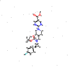 COC(=O)c1cnc(N2CCC(CN(C(=O)OC(C)(C)C)[C@@H]3C[C@@H]3c3ccc(F)cc3)CC2)nc1